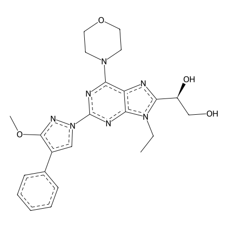 CCn1c([C@@H](O)CO)nc2c(N3CCOCC3)nc(-n3cc(-c4ccccc4)c(OC)n3)nc21